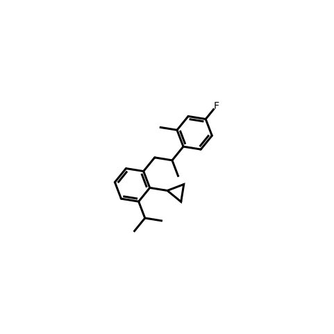 Cc1cc(F)ccc1C(C)Cc1cccc(C(C)C)c1C1CC1